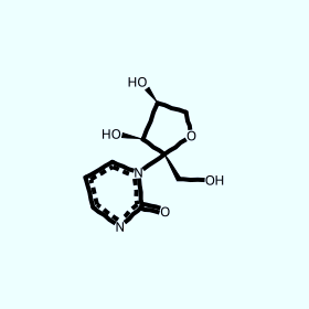 O=c1ncccn1[C@@]1(CO)OC[C@H](O)[C@@H]1O